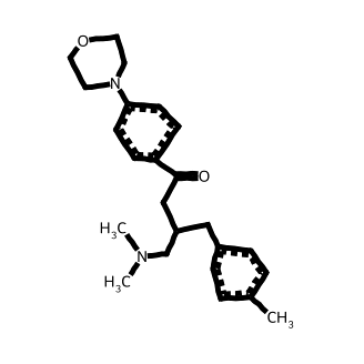 Cc1ccc(CC(CC(=O)c2ccc(N3CCOCC3)cc2)CN(C)C)cc1